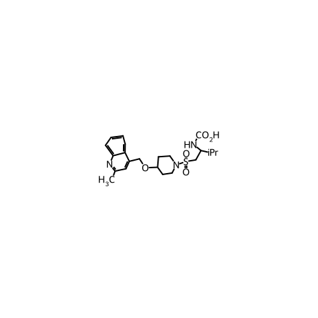 Cc1cc(COC2CCN(S(=O)(=O)CC(NC(=O)O)C(C)C)CC2)c2ccccc2n1